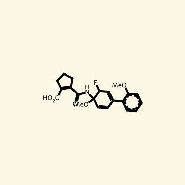 COc1ccccc1C1=CC(F)C(NC(=O)C2=C(C(=O)O)CCC2)(OC)C=C1